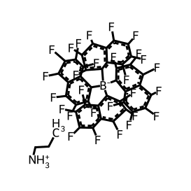 CCC[NH3+].Fc1c(F)c(F)c2c([B-](c3c(F)c(F)c(F)c4c(F)c(F)c(F)c(F)c34)(c3c(F)c(F)c(F)c4c(F)c(F)c(F)c(F)c34)c3c(F)c(F)c(F)c4c(F)c(F)c(F)c(F)c34)c(F)c(F)c(F)c2c1F